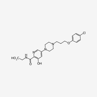 O=C(O)CNC(=O)c1ncc(N2CCN(CCCOc3ccc(Cl)cc3)CC2)cc1O